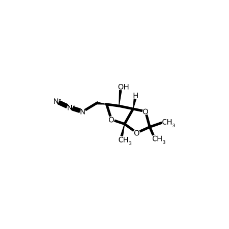 CC1(C)O[C@H]2[C@H](O)[C@H](CN=[N+]=[N-])O[C@@]2(C)O1